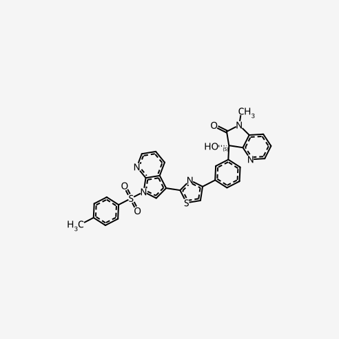 Cc1ccc(S(=O)(=O)n2cc(-c3nc(-c4cccc([C@@]5(O)C(=O)N(C)c6cccnc65)c4)cs3)c3cccnc32)cc1